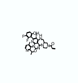 C=CC(=O)N1CCN2c3nc(=O)n(-c4c(C)ccnc4C(C)C)c4nc(-c5c(O)ccc(F)c5F)c(F)c(c34)NCC2C1